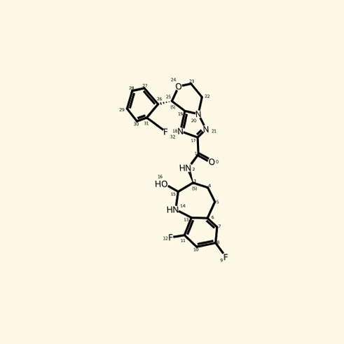 O=C(N[C@H]1CCc2cc(F)cc(F)c2NC1O)c1nc2n(n1)CCO[C@H]2c1ccccc1F